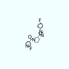 O=C(c1ccnc(F)c1)N1CCC[C@H](c2cn(-c3ccc(F)cc3)cn2)C1